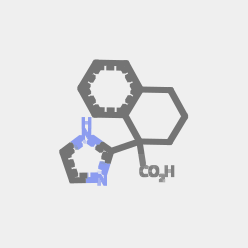 O=C(O)C1(c2ncc[nH]2)CCCc2ccccc21